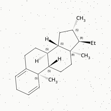 CC[C@@H]1[C@@H](C)C[C@H]2[C@@H]3CCC4=CCC=C[C@]4(C)[C@H]3CC[C@]12C